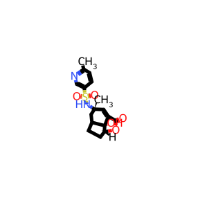 Cc1ccc(S(=O)(=O)N[C@@]2(C)C=C3C(=O)O[C@@H]4CCC(C2)[C@]34O)cn1